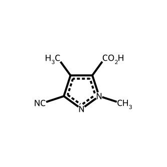 Cc1c(C#N)nn(C)c1C(=O)O